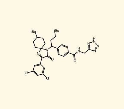 CC(C)(C)CCC(c1ccc(C(=O)NCc2nn[nH]n2)cc1)N1C(=O)C(c2cc(Cl)cc(Cl)c2)=NC12CCC(C(C)(C)C)CC2